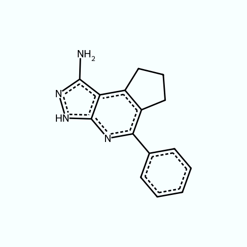 Nc1n[nH]c2nc(-c3ccccc3)c3c(c12)CCC3